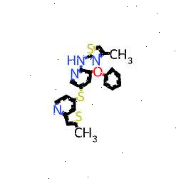 Cc1csc(Nc2ncc(Sc3ccnc4cc(C)sc34)cc2Oc2ccccc2)n1